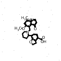 COc1cc(C)c2[nH]ccc(=O)c2c1CN1CCCCC1c1ccc(C(=O)O)c2c1OCC2